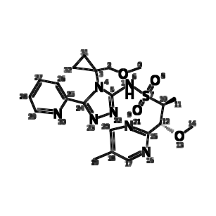 COCC1(n2c(NS(=O)(=O)[C@@H](C)[C@H](OC)c3ncc(C)cn3)nnc2-c2ccccn2)CC1